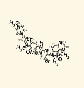 CCc1cc(Nc2ncc(Br)c(Nc3ccc4nccnc4c3P(C)(C)=O)n2)c(OC)cc1N(C)[C@H]1C[C@@H](N2CCN(C)CC2)C1